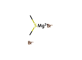 CSC.[Br-].[Br-].[Mg+2]